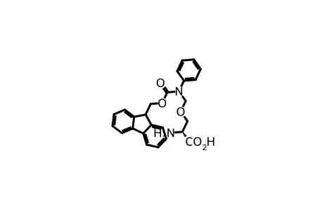 N[C@@H](COCN(C(=O)OCC1c2ccccc2-c2ccccc21)c1ccccc1)C(=O)O